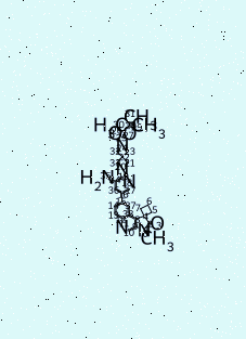 CN1C(=O)C2(CCC2)c2c1cnc1ccc(-c3cnc(N4CC5(CN(C(=O)OC(C)(C)C)C5)C4)c(N)c3)cc21